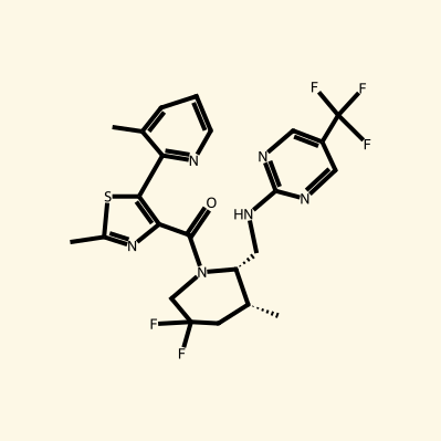 Cc1nc(C(=O)N2CC(F)(F)C[C@@H](C)[C@H]2CNc2ncc(C(F)(F)F)cn2)c(-c2ncccc2C)s1